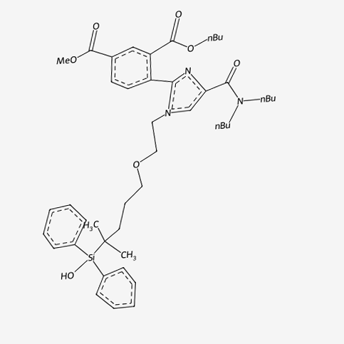 CCCCOC(=O)c1cc(C(=O)OC)ccc1-c1nc(C(=O)N(CCCC)CCCC)cn1CCOCCCC(C)(C)[Si](O)(c1ccccc1)c1ccccc1